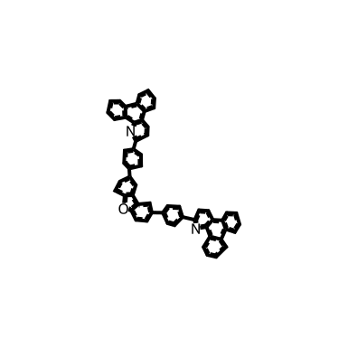 c1ccc2c(c1)c1ccccc1c1nc(-c3ccc(-c4ccc5oc6ccc(-c7ccc(-c8ccc9c%10ccccc%10c%10ccccc%10c9n8)cc7)cc6c5c4)cc3)ccc21